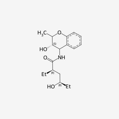 CC[C@@H](O)C[C@@H](CC)C(=O)NC1c2ccccc2OC(C)[C@H]1O